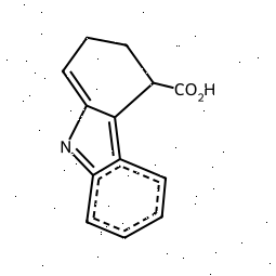 O=C(O)C1CCC=C2N=c3ccccc3=C21